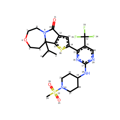 CC(C)C12CCOCCN1C(=O)c1cc(-c3nc(NC4CCN(S(C)(=O)=O)CC4)ncc3C(F)(F)F)sc12